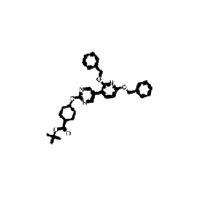 CC(C)(C)OC(=O)C1CCC(Oc2ncc(-c3ccc(OCc4ccccc4)nc3OCc3ccccc3)cn2)CC1